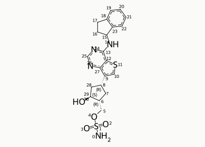 NS(=O)(=O)OC[C@H]1C[C@@H](c2csc3c(NC4CCc5ccccc54)ncnc23)C[C@@H]1O